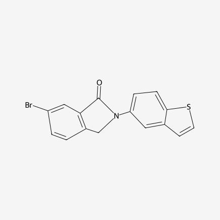 O=C1c2cc(Br)ccc2CN1c1ccc2sccc2c1